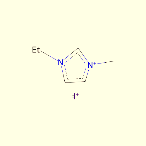 CCn1cc[n+](C)c1.[I+]